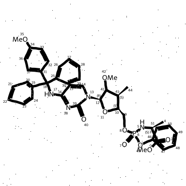 COC(=O)[C@H](C)NP(=O)(OC[C@H]1O[C@@H](n2ccc(NC(c3ccccc3)(c3ccccc3)c3ccc(OC)cc3)nc2=O)C(OC)[C@H]1C)Oc1ccccc1